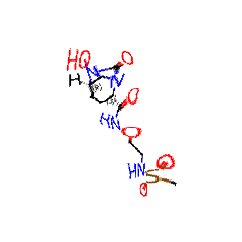 CS(=O)(=O)NCCONC(=O)[C@@H]1CC[C@@H]2CN1C(=O)N2O